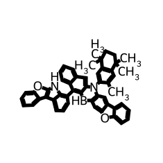 Cc1cc2c(cc1N1c3cc4c(cc3Bc3c1cc1ccccc1c3-c1cccc3c1[nH]c1oc5ccccc5c13)oc1ccccc14)C(C)(C)CCC2(C)C